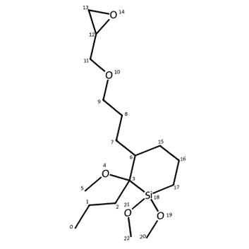 CCCC1(OC)C(CCCOCC2CO2)CCC[Si]1(OC)OC